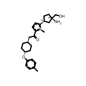 Cc1ccc(O[C@H]2CC[C@H](CC(=O)c3ccc([C@H]4CC[C@](N)(CO)C4)n3C)CC2)cc1